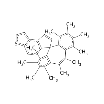 CC1=C(C)c2c(C)c(C)c(C)c(C)c2C2(C=Cc3c2ccc2sccc32)c2c(C)c(C)c(C)c(C)c21